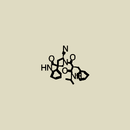 CC(C)NC(=O)[C@H](Cc1ccccc1)C(=O)N1C[C@]2(C[C@H]1C#N)C(=O)Nc1ccccc12